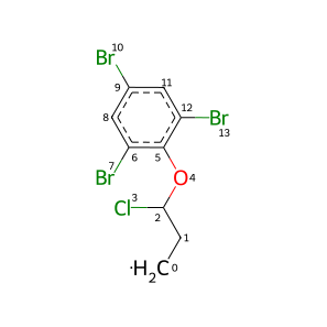 [CH2]CC(Cl)Oc1c(Br)cc(Br)cc1Br